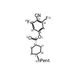 CCCCC[C@H]1CC[C@H](C(=O)Oc2cc(F)c(C#N)c(F)c2)CC1